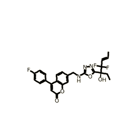 C/C=C/C(F)(F)[C@](O)(CC)c1nnc(NCc2ccc3c(-c4ccc(F)cc4)cc(=O)oc3c2)o1